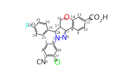 [C-]#[N+]c1ccc(N2N=C3c4ccc(C(=O)O)cc4OCC3C2c2ccc(F)cc2)cc1Cl